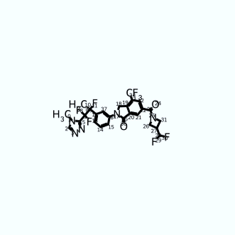 Cn1cnnc1C(F)(F)[C@](C)(F)c1cccc(N2Cc3c(cc(C(=O)N4CC(C(F)F)C4)cc3C(F)(F)F)C2=O)c1